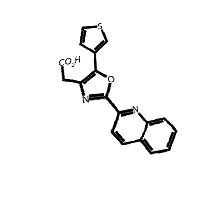 O=C(O)Cc1nc(-c2ccc3ccccc3n2)oc1-c1ccsc1